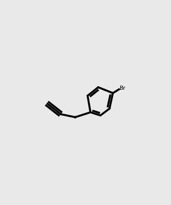 C#C[CH]c1ccc(Br)cc1